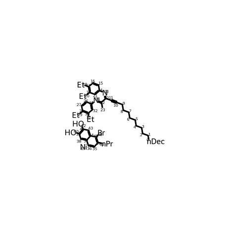 CCCCCCCCCCCCCCCCCCCC#CC(=Nc1ccc(CC)c(CC)c1)C(C)=Nc1ccc(CC)c(CC)c1.CCCc1ccc2cc(O)c(O)cc2c1Br.[Ni]